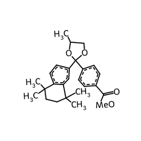 COC(=O)c1ccc(C2(c3ccc4c(c3)C(C)(C)CCC4(C)C)OCC(C)O2)cc1